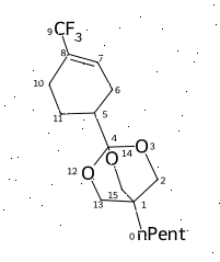 CCCCCC12COC(C3CC=C(C(F)(F)F)CC3)(OC1)OC2